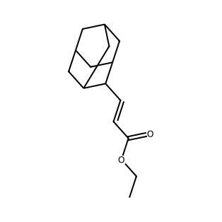 CCOC(=O)/C=C/C1C2CC3CC(C2)CC1C3